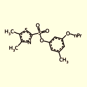 CCCOc1cc(C)cc(OS(=O)(=O)c2nc(C)c(C)s2)c1